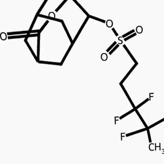 CC(F)(F)C(F)(F)CCS(=O)(=O)OC1C2CC3CC(C2)C(=O)OC1C3